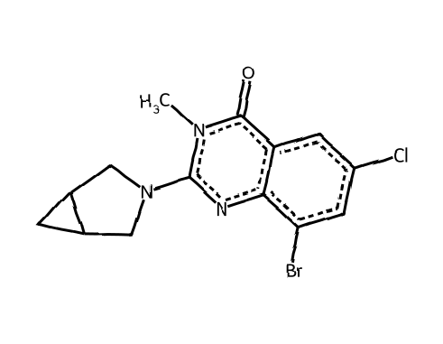 Cn1c(N2CC3CC3C2)nc2c(Br)cc(Cl)cc2c1=O